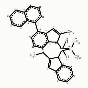 CCC1=Cc2ccccc2[CH]1[Ti]([Cl])([Cl])([CH]1C(C)=Cc2c(-c3cccc4ccccc34)cccc21)=[Si](C)C